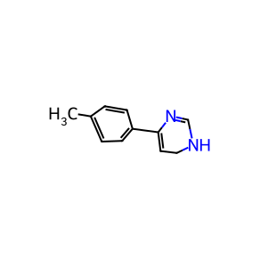 Cc1ccc(C2=CCNC=N2)cc1